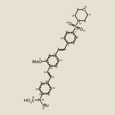 COc1cc(C=Cc2ccc(S(=O)(=O)N3CCOCC3)cc2)ccc1C=Cc1ccc(N(C(=O)O)C(C)(C)C)cc1